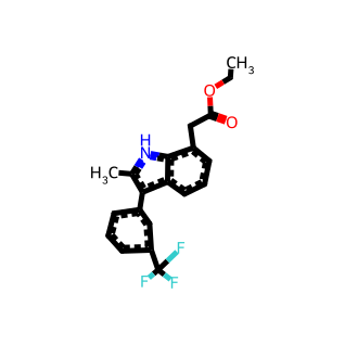 CCOC(=O)Cc1cccc2c(-c3cccc(C(F)(F)F)c3)c(C)[nH]c12